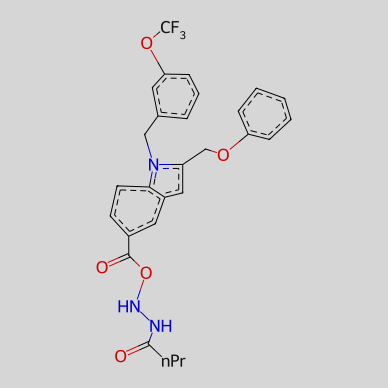 CCCC(=O)NNOC(=O)c1ccc2c(c1)cc(COc1ccccc1)n2Cc1cccc(OC(F)(F)F)c1